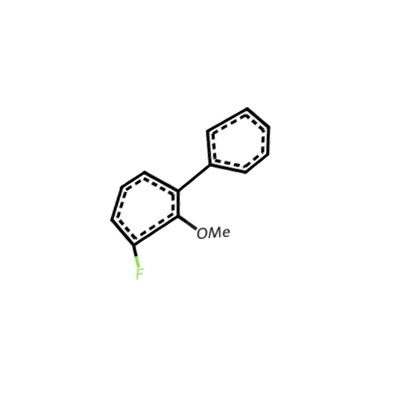 COc1c(F)cccc1-c1ccccc1